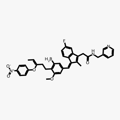 Bc1cc(/C=C2/C(C)=C(CC(=O)NCc3cccnc3)c3cc(F)ccc32)cc(OC)c1CCC(=CC)Oc1ccc([N+](=O)[O-])cc1